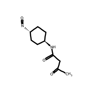 CC(=O)CC(=O)N[C@H]1CC[C@H](N=O)CC1